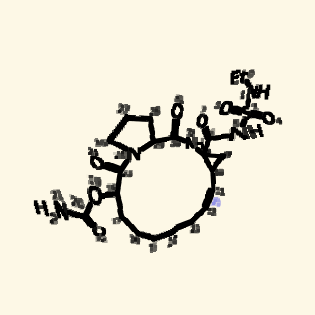 CCNS(=O)(=O)NC(=O)C12CC1/C=C\CCCCCC(OC(N)=O)C(=O)N1CCCC1C(=O)N2